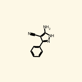 N#Cc1c(-c2ccccc2)n[nH]c1N